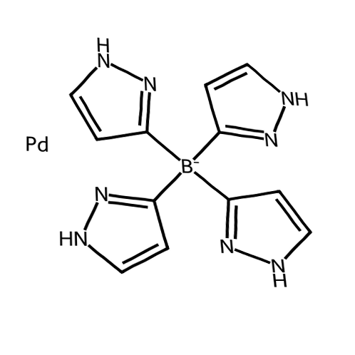 [Pd].c1cc([B-](c2cc[nH]n2)(c2cc[nH]n2)c2cc[nH]n2)n[nH]1